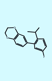 CC(C)c1ccc(F)cc1-c1ccc2c(c1)OCCO2